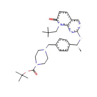 C[C@H](Nc1ncc2ccc(=O)n(CC(C)(C)C)c2n1)c1ccc(CN2CCN(C(=O)OC(C)(C)C)CC2)cc1